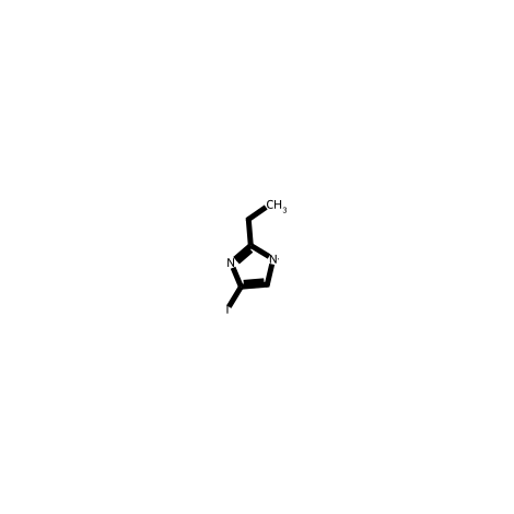 CCC1=NC(I)=C[N]1